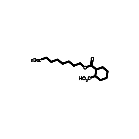 CCCCCCCCCCCCCCCCCOC(=O)C1CCCCC1C(=O)O